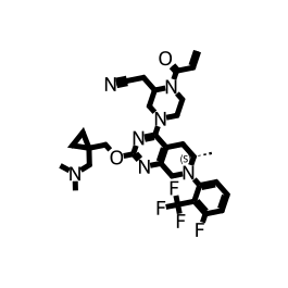 C=CC(=O)N1CCN(c2nc(OCC3(CN(C)C)CC3)nc3c2C[C@H](C)N(c2cccc(F)c2C(F)(F)F)C3)CC1CC#N